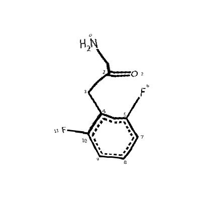 NC(=O)Cc1c(F)cccc1F